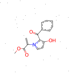 C=C(C(=O)OC)n1ccc(O)c1C(=O)c1ccccc1